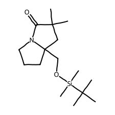 CC1(C)CC2(CO[Si](C)(C)C(C)(C)C)CCCN2C1=O